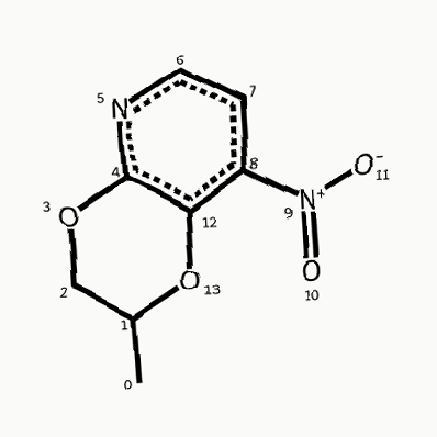 CC1COc2nccc([N+](=O)[O-])c2O1